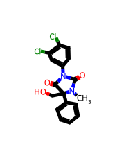 CN1C(=O)N(c2ccc(Cl)c(Cl)c2)C(=O)C1(CO)c1ccccc1